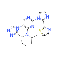 CC[C@@H]1c2nncn2-c2cnc(-n3ccnc3-c3nccs3)nc2N1C(C)C